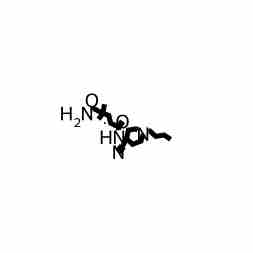 CCCCN1CCC(C#N)(NC(=O)[CH]CC(C)(C)C(N)=O)CC1